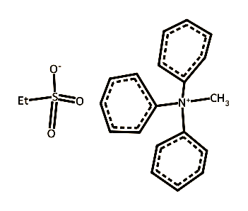 CCS(=O)(=O)[O-].C[N+](c1ccccc1)(c1ccccc1)c1ccccc1